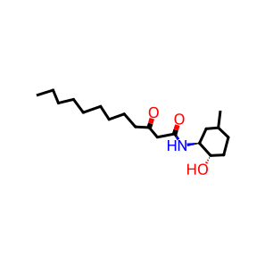 CCCCCCCCCC(=O)CC(=O)N[C@H]1CC(C)CC[C@@H]1O